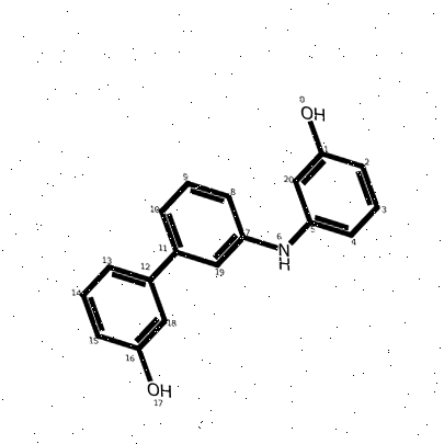 Oc1cccc(Nc2cccc(-c3cccc(O)c3)c2)c1